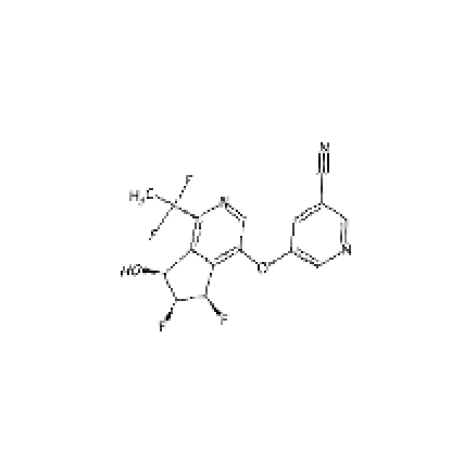 CC(F)(F)c1ncc(Oc2cncc(C#N)c2)c2c1[C@H](O)[C@H](F)[C@@H]2F